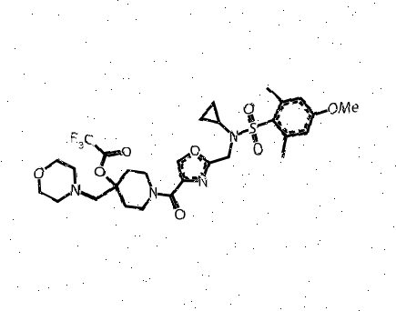 COc1cc(C)c(S(=O)(=O)N(Cc2nc(C(=O)N3CCC(CN4CCOCC4)(OC(=O)C(F)(F)F)CC3)co2)C2CC2)c(C)c1